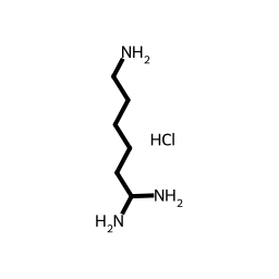 Cl.NCCCCCC(N)N